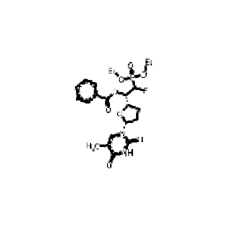 CCOP(=O)(OCC)C(F)C(OC(=O)c1ccccc1)[C@@H]1CC[C@H](n2cc(C)c(=O)[nH]c2=O)O1